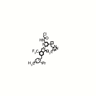 CC(C)[C@H]1CN(C)CCN1Cc1cc2c(c(C(F)(F)F)c1)CN(c1cc(C3(Cc4nncn4C)CCC3)cc(NC(=O)CCl)n1)C2=O